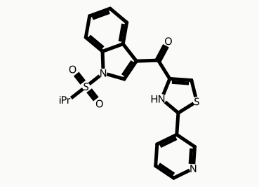 CC(C)S(=O)(=O)n1cc(C(=O)C2=CSC(c3cccnc3)N2)c2ccccc21